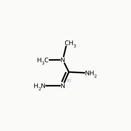 CN(C)/C(N)=N\N